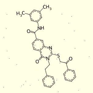 Cc1cc(C)cc(NC(=O)c2ccc3c(=O)n(CCc4ccccc4)c(SCC(=O)c4ccccc4)nc3c2)c1